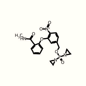 CNC(=O)c1ccccc1Oc1cc(COP(=O)(N2CC2)N2CC2)ccc1[N+](=O)[O-]